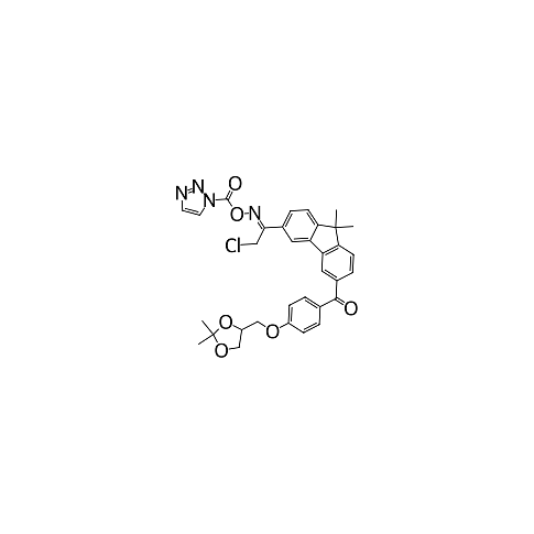 CC1(C)OCC(COc2ccc(C(=O)c3ccc4c(c3)-c3cc(/C(CCl)=N/OC(=O)n5ccnn5)ccc3C4(C)C)cc2)O1